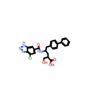 O=C(NC(Cc1ccc(-c2ccccc2)cc1)CC(CO)C(=O)O)c1cc(Cl)c2nn[nH]c2c1